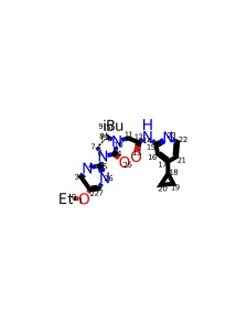 CCOc1cnc(N2C[C@H]([C@@H](C)CC)N(CC(=O)Nc3cc(C4CC4)ccn3)C2=O)nc1